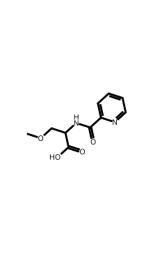 COCC(NC(=O)c1ccccn1)C(=O)O